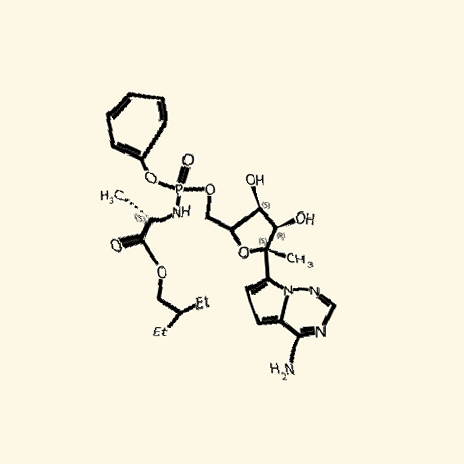 CCC(CC)COC(=O)[C@H](C)NP(=O)(OCC1O[C@@](C)(c2ccc3c(N)ncnn23)[C@H](O)[C@@H]1O)Oc1ccccc1